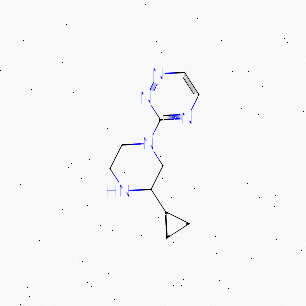 c1cnc(N2CCNC(C3CC3)C2)nn1